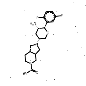 CC(C)C(=O)N1CCC2CN([C@H]3CO[C@H](c4cc(F)ccc4F)[C@@H](N)C3)CC2C1